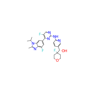 Cc1nc2c(F)cc(-c3nc(Nc4ccc([C@H](O)C5(F)CCOCC5)cn4)ncc3F)cc2n1C(C)C